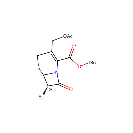 CC[C@@H]1C(=O)N2C(C(=O)OC(C)(C)C)=C(COC(C)=O)CSC12